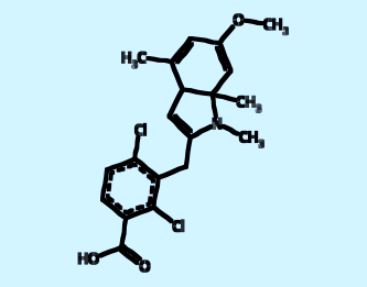 COC1=CC2(C)C(C=C(Cc3c(Cl)ccc(C(=O)O)c3Cl)N2C)C(C)=C1